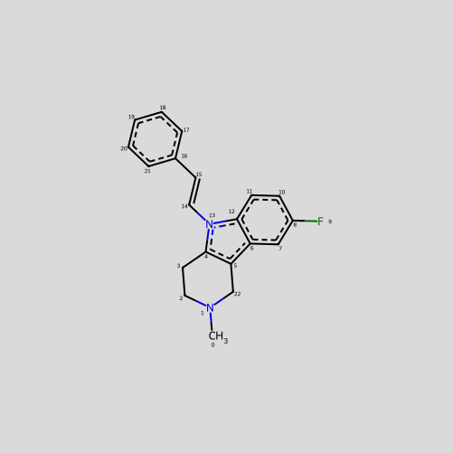 CN1CCc2c(c3cc(F)ccc3n2C=Cc2ccccc2)C1